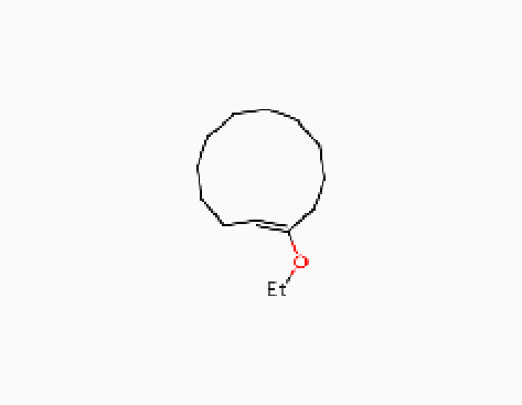 CCO/C1=C\CCCCCCCCCC1